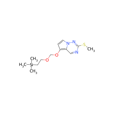 CSc1ncc2c(OCOCC[Si](C)(C)C)ccn2n1